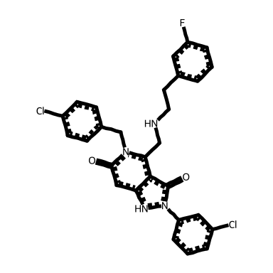 O=c1c2c(CNCCc3cccc(F)c3)n(Cc3ccc(Cl)cc3)c(=O)cc2[nH]n1-c1cccc(Cl)c1